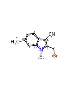 CCn1c(CBr)c(C#N)c2ccc(C)cc21